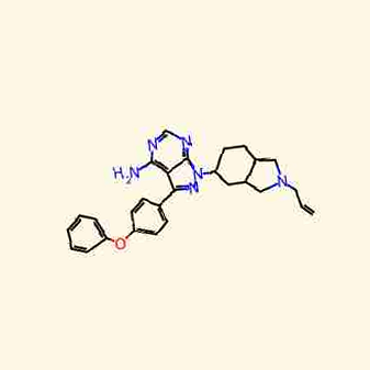 C=CCN1CC2CCC(n3nc(-c4ccc(Oc5ccccc5)cc4)c4c(N)ncnc43)CC2C1